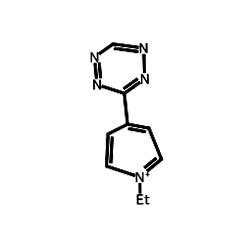 CC[n+]1ccc(-c2nncnn2)cc1